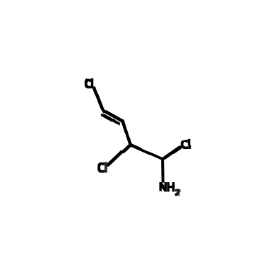 NC(Cl)C(Cl)C=CCl